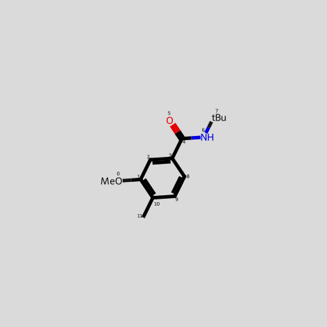 COc1cc(C(=O)NC(C)(C)C)ccc1C